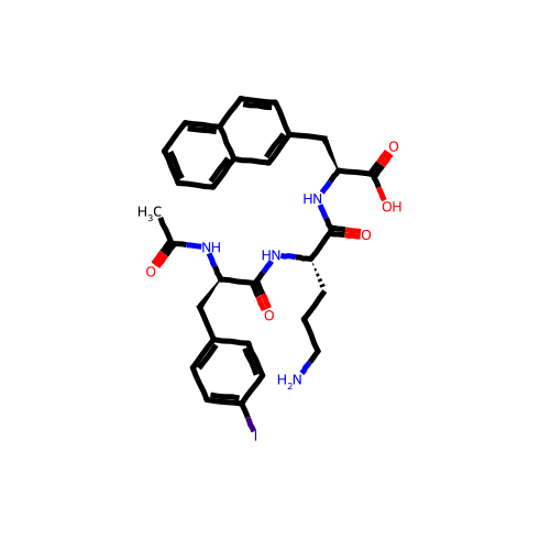 CC(=O)N[C@H](Cc1ccc(I)cc1)C(=O)N[C@@H](CCCN)C(=O)N[C@@H](Cc1ccc2ccccc2c1)C(=O)O